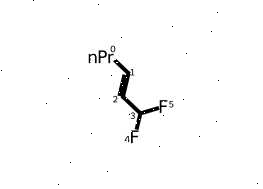 [CH2]CCC=CC(F)F